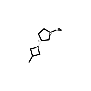 CC1CN([C@@H]2CCN(C(C)(C)C)C2)C1